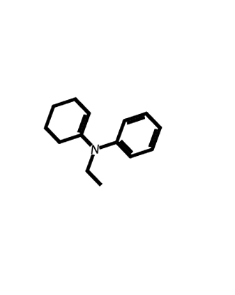 CCN(C1=CCCCC1)c1ccccc1